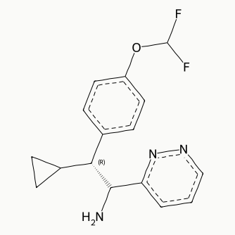 NC(c1cccnn1)[C@@H](c1ccc(OC(F)F)cc1)C1CC1